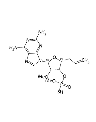 C=CC[C@H]1O[C@@H](n2cnc3c(N)nc(N)nc32)C(OC)C1OP(=O)(S)OC